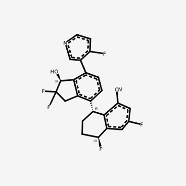 N#Cc1cc(F)cc2c1[C@@H](c1ccc(-c3cnccc3F)c3c1CC(F)(F)[C@H]3O)CC[C@@H]2F